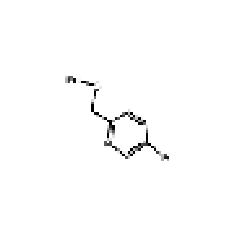 CC(C)OCc1ccc(Br)cn1